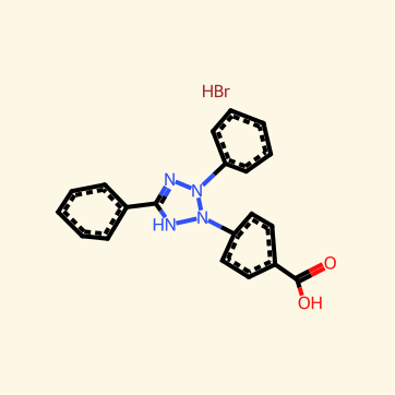 Br.O=C(O)c1ccc(N2NC(c3ccccc3)=NN2c2ccccc2)cc1